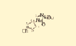 CCC(C)n1ncn(-c2ccc(Cl)cc2)c1=O